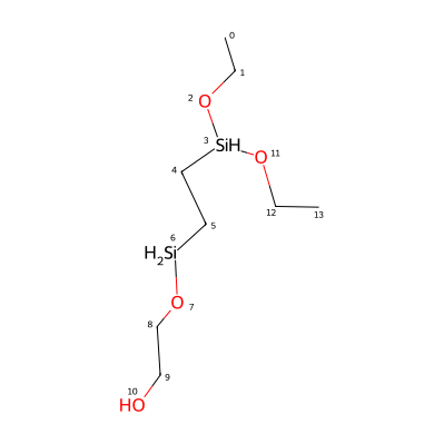 CCO[SiH](CC[SiH2]OCCO)OCC